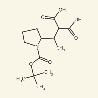 CC(C(C(=O)O)C(=O)O)C1CCCN1C(=O)OC(C)(C)C